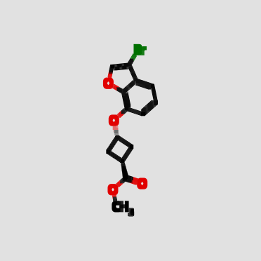 COC(=O)[C@H]1C[C@H](Oc2cccc3c(Br)coc23)C1